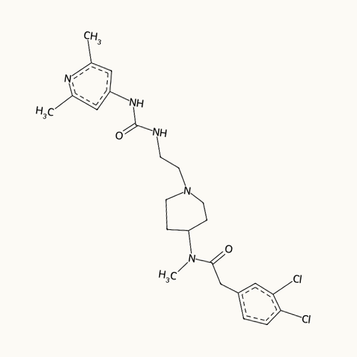 Cc1cc(NC(=O)NCCN2CCC(N(C)C(=O)Cc3ccc(Cl)c(Cl)c3)CC2)cc(C)n1